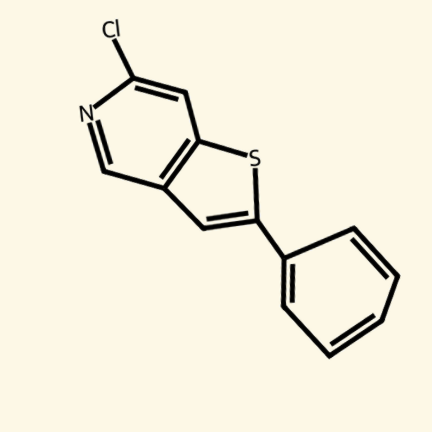 Clc1cc2sc(-c3ccccc3)cc2cn1